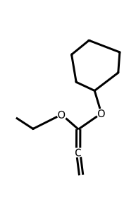 C=C=C(OCC)OC1CCCCC1